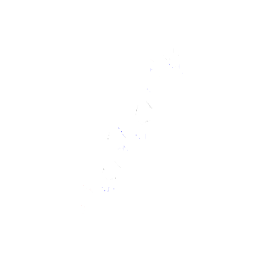 C[C@@H](N)C(=O)N1CCN(c2ccc(Nc3nccc(-c4ccc(NC(=O)C5CCCO5)cc4)n3)cc2)CC1